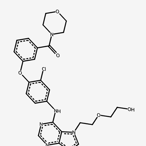 O=C(c1cccc(Oc2ccc(Nc3ncnc4ccn(CCOCCO)c34)cc2Cl)c1)N1CCOCC1